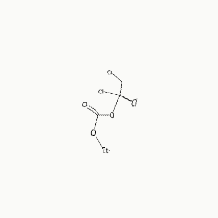 C[CH]OC(=O)OC(Cl)(Cl)CCl